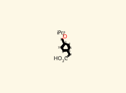 CC(C)OCc1ccc(CC(=O)O)cc1